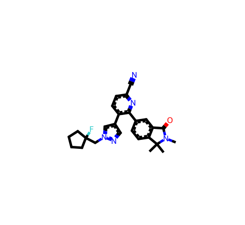 CN1C(=O)c2cc(-c3nc(C#N)ccc3-c3cnn(CC4(F)CCCC4)c3)ccc2C1(C)C